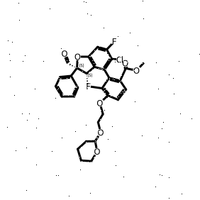 COC(=O)c1ccc(OCCOC2CCCCO2)c(F)c1-c1c(Cl)c(F)cc2c1[C@H](C)[C@@](C=O)(c1ccccc1)O2